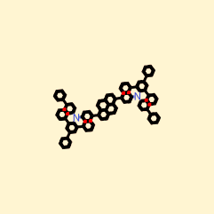 c1ccc(-c2ccc(N(c3ccc(-c4ccc5ccc6c(-c7ccc(N(c8ccc(-c9ccccc9)cc8)c8c(-c9ccccc9)cc(-c9ccccc9)cc8-c8ccccc8)cc7)ccc7ccc4c5c76)cc3)c3c(-c4ccccc4)cc(-c4ccccc4)cc3-c3ccccc3)cc2)cc1